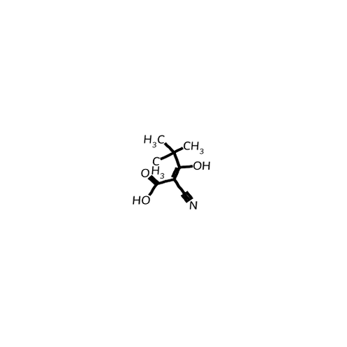 CC(C)(C)C(O)=C(C#N)C(=O)O